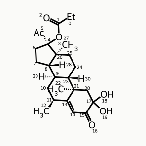 CCC(=O)O[C@]1(C(C)=O)CC[C@H]2[C@@H]3C[C@H](C)C4=CC(=O)C(O)(O)C[C@]4(C)[C@H]3CC[C@@]21C